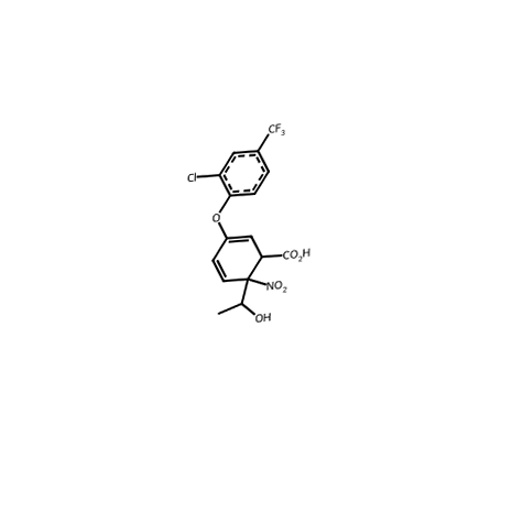 CC(O)C1([N+](=O)[O-])C=CC(Oc2ccc(C(F)(F)F)cc2Cl)=CC1C(=O)O